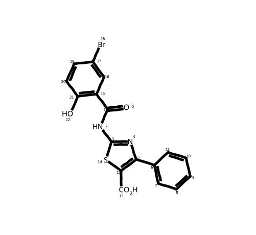 O=C(Nc1nc(-c2ccccc2)c(C(=O)O)s1)c1cc(Br)ccc1O